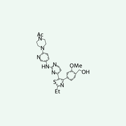 CCc1nc(-c2ccc(CO)c(OC)c2)c(-c2ccnc(Nc3ccc(N4CCN(C(C)=O)CC4)nc3)n2)s1